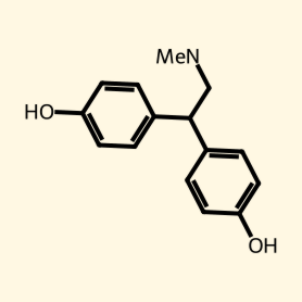 CNCC(c1ccc(O)cc1)c1ccc(O)cc1